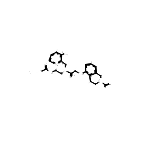 CCC(=O)N1CCc2c(cccc2NCC(=O)N(CCNC(=O)OC)Cc2ncccc2C(F)(F)F)C1